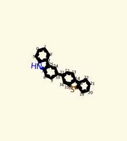 c1ccc2c(c1)[nH]c1ccc(-c3ccc4c(c3)sc3ccccc34)cc12